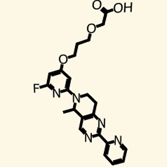 CC1c2cnc(-c3ccccn3)nc2CCN1c1cc(OCCCOCC(=O)O)cc(F)n1